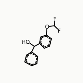 OC(c1ccccc1)c1cccc(OC(F)F)c1